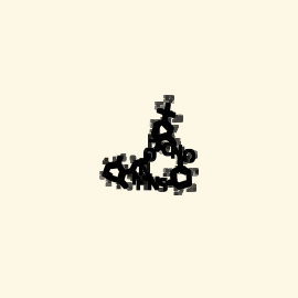 Cc1cccc(C)c1-c1cc2nc(n1)NSc1cccc(c1)C(=O)N1Cc3cc(C(C)(C)C)ccc3[C@@H](C1)O2